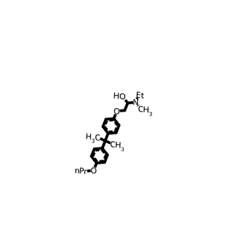 CCCOc1ccc(C(C)(C)c2ccc(OCC(O)N(C)CC)cc2)cc1